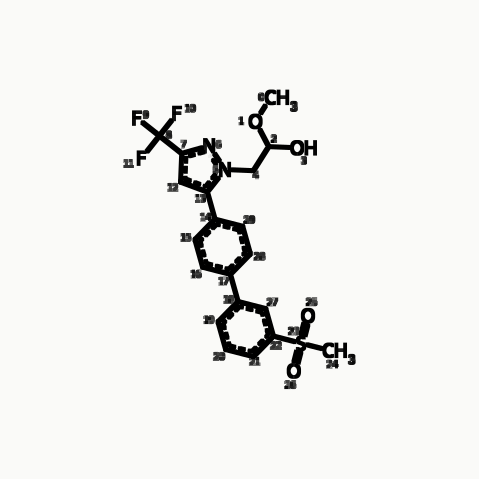 COC(O)Cn1nc(C(F)(F)F)cc1-c1ccc(-c2cccc(S(C)(=O)=O)c2)cc1